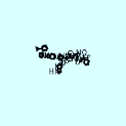 O=C(NS(=O)(=O)c1cc([N+](=O)[O-])c2c(n1)OC[C@H](C1(F)CCCCC1)N2)c1ccc(N2CCC3(CC2)CC(N2CCC[C@@H]2c2ccccc2C2CC2)C3)cc1Oc1cnc2[nH]ccc2c1